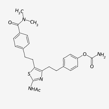 CC(=O)Nc1nc(CCc2ccc(OC(N)=O)cc2)c(CCc2ccc(C(=O)N(C)C)cc2)s1